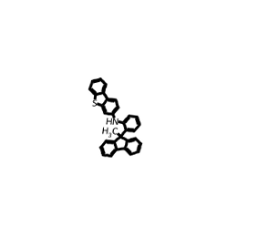 CC1(c2ccccc2Nc2ccc3c(c2)sc2ccccc23)c2ccccc2-c2ccccc21